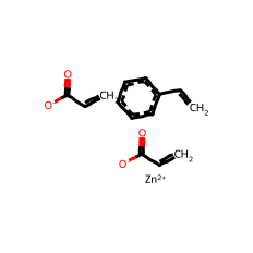 C=CC(=O)[O-].C=CC(=O)[O-].C=Cc1ccccc1.[Zn+2]